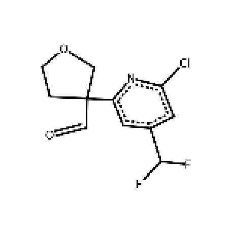 O=CC1(c2cc(C(F)F)cc(Cl)n2)CCOC1